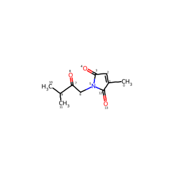 CC1=CC(=O)N(CC(=O)C(C)C)C1=O